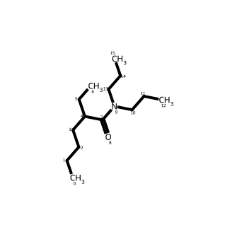 CCCCC(CC)C(=O)N(CCC)CCC